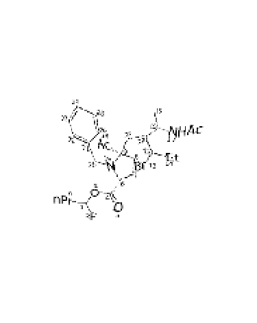 CCCC(F)OC(=O)[C@H]1CC[C@@](CC(C(Br)CC)C(C)NC(C)=O)(C(C)=O)N1Cc1ccccc1